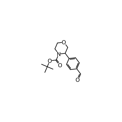 CC(C)(C)OC(=O)N1CCOCC1c1ccc(C=O)cc1